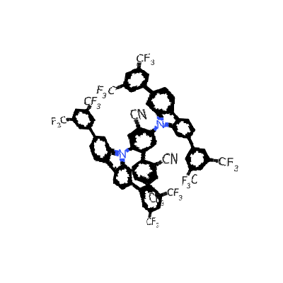 N#Cc1cc(C(F)(F)F)ccc1-c1cc(-n2c3cc(-c4cc(C(F)(F)F)cc(C(F)(F)F)c4)ccc3c3ccc(-c4cc(C(F)(F)F)cc(C(F)(F)F)c4)cc32)c(C#N)cc1-n1c2cc(-c3cc(C(F)(F)F)cc(C(F)(F)F)c3)ccc2c2ccc(-c3cc(C(F)(F)F)cc(C(F)(F)F)c3)cc21